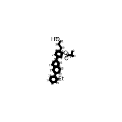 C=C(C)C(=O)Oc1cc(-c2ccc3cc(-c4ccccc4CC)ccc3c2)ccc1CCCO